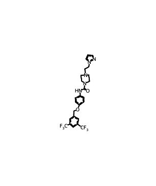 O=C(Nc1ccc(OCc2cc(C(F)(F)F)cc(C(F)(F)F)c2)cc1)N1CCN(CCn2cccn2)CC1